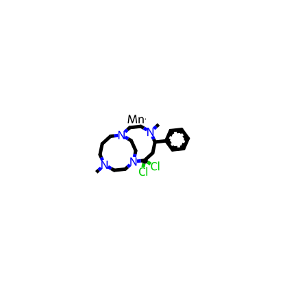 CN1CCCN2CCN(C)C(c3ccccc3)CC(Cl)(Cl)N(CC1)CC2.[Mn]